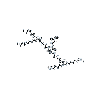 CCCCCCCCC(CCCCCC)C(=O)OCCCCCCN(CCCCCCOC(=O)C(CCCCCC)CCCCCCCC)C(=O)CCCCC(=O)O